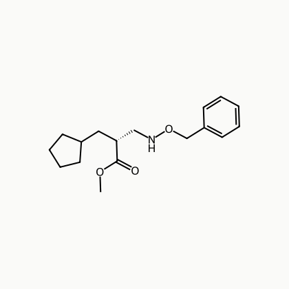 COC(=O)[C@@H](CNOCc1ccccc1)CC1CCCC1